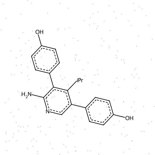 CC(C)c1c(-c2ccc(O)cc2)cnc(N)c1-c1ccc(O)cc1